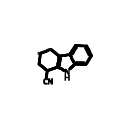 N#CC1C[C]Cc2c1[nH]c1ccccc21